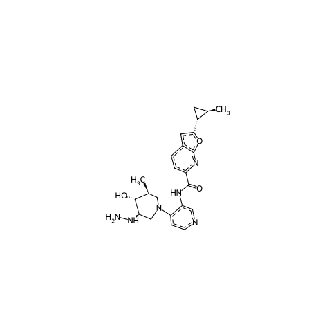 C[C@@H]1C[C@H]1c1cc2ccc(C(=O)Nc3cnccc3N3C[C@H](C)[C@@H](O)[C@H](NN)C3)nc2o1